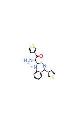 CN1c2ccccc2C(c2ccsc2)=NCC1C(N)C(=O)c1ccsc1